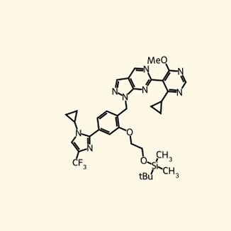 COc1ncnc(C2CC2)c1-c1ncc2cnn(Cc3ccc(-c4nc(C(F)(F)F)cn4C4CC4)cc3OCCO[Si](C)(C)C(C)(C)C)c2n1